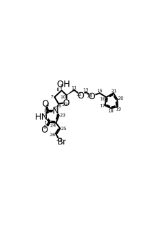 O=c1[nH]c(=O)n([C@H]2C[C@H](O)[C@@H](COCOCc3ccccc3)O2)cc1C=CBr